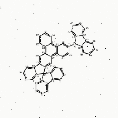 c1ccc2c(c1)-c1ccccc1C21c2ccccc2-c2cc3c4ccccc4c4cc(-n5c6ccccc6c6ccccc65)ccc4c3cc21